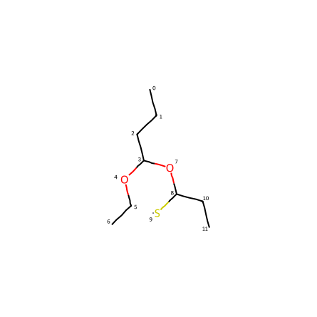 CCCC(OCC)OC([S])CC